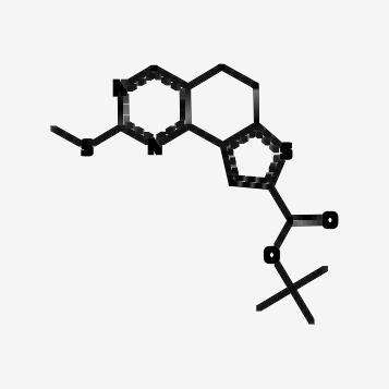 CSc1ncc2c(n1)-c1cc(C(=O)OC(C)(C)C)sc1CC2